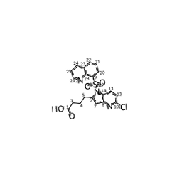 O=C(O)CCCc1cc2nc(Cl)ccc2n1S(=O)(=O)c1cccc2cccnc12